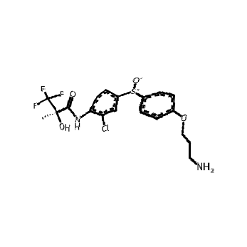 C[C@@](O)(C(=O)Nc1ccc([S+]([O-])c2ccc(OCCCN)cc2)cc1Cl)C(F)(F)F